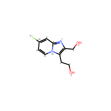 OCCc1c(CO)nc2cc(F)ccn12